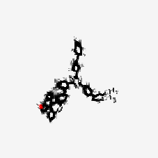 C=C/C=C(\C=C/C)c1ccc(-c2nc(-c3ccc(-c4ccccc4)cc3)nc(-c3cccc(-c4ccc5c(c4)C4(c6ccccc6O5)c5ccccc5-c5ccccc54)c3)n2)cc1